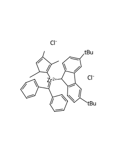 CC1=CC(C)[C]([Zr+2](=[C](c2ccccc2)c2ccccc2)[CH]2c3ccc(C(C)(C)C)cc3-c3cc(C(C)(C)C)ccc32)=C1C.[Cl-].[Cl-]